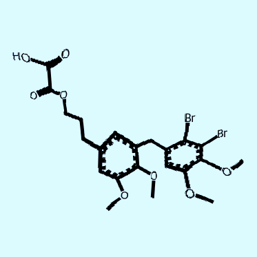 COc1cc(CCCOC(=O)C(=O)O)cc(Cc2cc(OC)c(OC)c(Br)c2Br)c1OC